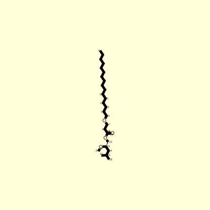 CCCCCCCCCCCCCCCCOCCC(=O)OC[C@H](CC(C)C)OC